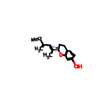 C=C(/C=C(\C)[C@@H]1CCc2ccc(O)cc2O1)OC